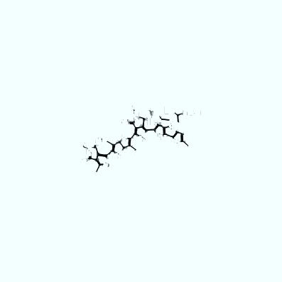 CCCCC(CC)C[Si]1(CC(CC)CCCC)c2cc(C)sc2-c2sc(-c3sc(C4=C(C)C5SC(c6sc(C)c7c6C(=O)N(C)C7=O)=C(C)C5S4)c4c3C(=O)N(C)C4=O)cc21